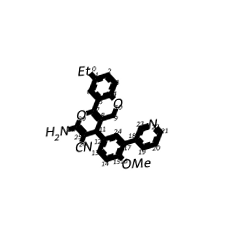 CCc1ccc2c(c1)C1=C(CO2)C(c2ccc(OC)c(-c3cccnc3)c2)C(C#N)=C(N)O1